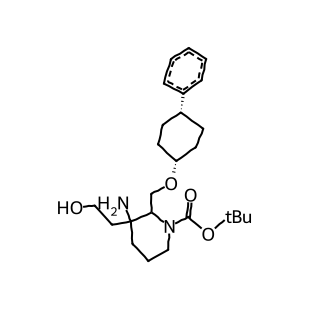 CC(C)(C)OC(=O)N1CCCC(N)(CCO)C1CO[C@H]1CC[C@@H](c2ccccc2)CC1